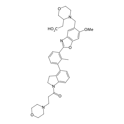 COc1cc2oc(-c3cccc(-c4cccc5c4CCN5C(=O)CCN4CCOCC4)c3C)nc2cc1CN1CCOCC1CC(=O)O